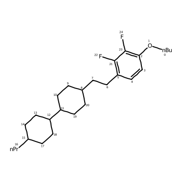 CCCCOc1ccc(CCC2CCC(C3CCC(CCC)CC3)CC2)c(F)c1F